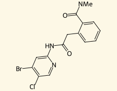 CNC(=O)c1ccccc1CC(=O)Nc1cc(Br)c(Cl)cn1